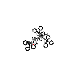 O[C@@H]1[C@@H](OC(c2ccccc2)(c2ccccc2)c2ccccc2)[C@H](n2cnc3c(NC(c4ccccc4)(c4ccccc4)c4ccccc4)ncnc32)O[C@@H]1COC(c1ccccc1)(c1ccccc1)c1ccccc1